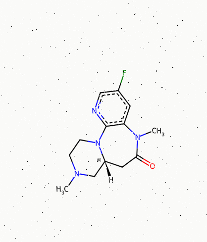 CN1CCN2c3ncc(F)cc3N(C)C(=O)C[C@@H]2C1